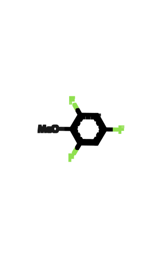 COc1c(F)[c]c(F)cc1F